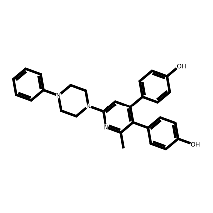 Cc1nc(N2CCN(c3ccccc3)CC2)cc(-c2ccc(O)cc2)c1-c1ccc(O)cc1